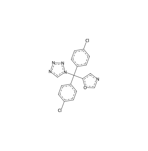 Clc1ccc(C(c2ccc(Cl)cc2)(c2cnco2)n2cnnn2)cc1